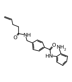 C=CCCC(=O)NCc1ccc(C(=O)Nc2ccccc2N)cc1